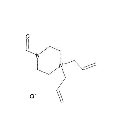 C=CC[N+]1(CC=C)CCN(C=O)CC1.[Cl-]